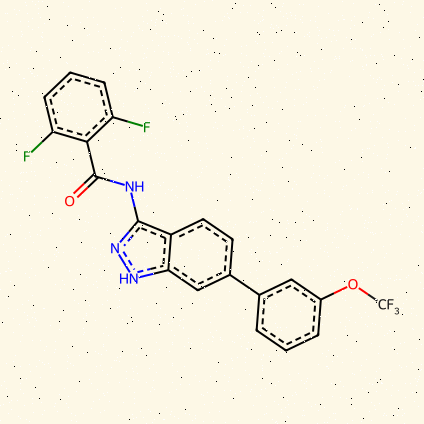 O=C(Nc1n[nH]c2cc(-c3cccc(OC(F)(F)F)c3)ccc12)c1c(F)cccc1F